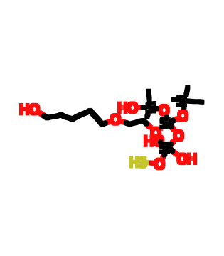 C[Si](C)(C)O[Si](OCCOCCCCCO)(O[Si](C)(C)O)O[Si](O)(O)OS